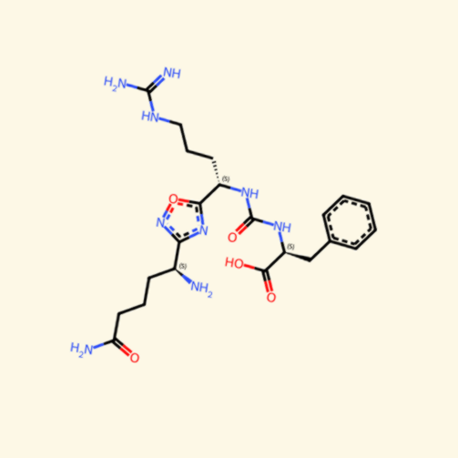 N=C(N)NCCC[C@H](NC(=O)N[C@@H](Cc1ccccc1)C(=O)O)c1nc([C@@H](N)CCCC(N)=O)no1